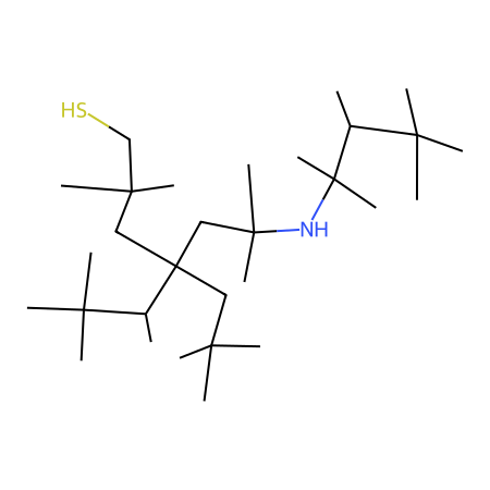 CC(C(C)(C)C)C(CC(C)(C)C)(CC(C)(C)CS)CC(C)(C)NC(C)(C)C(C)C(C)(C)C